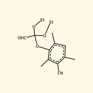 CCOC(C=O)(OCC)Oc1c(C)cc(C)c(C#N)c1C